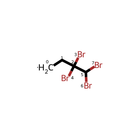 [CH2]CC(Br)(Br)C(Br)Br